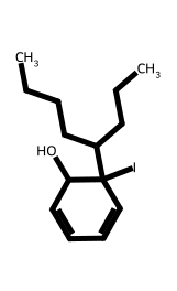 CCCCC(CCC)C1(I)C=CC=CC1O